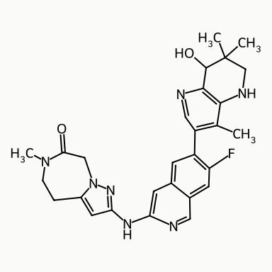 Cc1c(-c2cc3cc(Nc4cc5n(n4)CC(=O)N(C)CC5)ncc3cc2F)cnc2c1NCC(C)(C)C2O